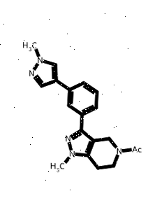 CC(=O)N1CCc2c(c(-c3cccc(-c4cnn(C)c4)c3)nn2C)C1